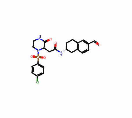 O=Cc1ccc2c(c1)CC[C@@H](NC(=O)CC1C(=O)NCCN1S(=O)(=O)c1ccc(Cl)cc1)C2